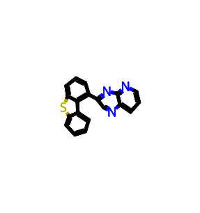 c1cnc2nc(-c3cccc4sc5ccccc5c34)cnc2c1